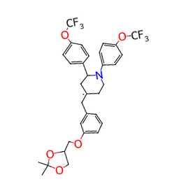 CC1(C)OCC(COc2cccc(C[C]3CCN(c4ccc(OC(F)(F)F)cc4)C(c4ccc(OC(F)(F)F)cc4)C3)c2)O1